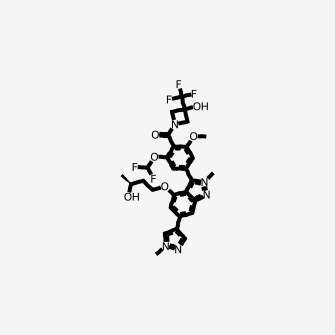 COc1cc(-c2c3c(OCC[C@H](C)O)cc(-c4cnn(C)c4)cc3nn2C)cc(OC(F)F)c1C(=O)N1CC(O)(C(F)(F)F)C1